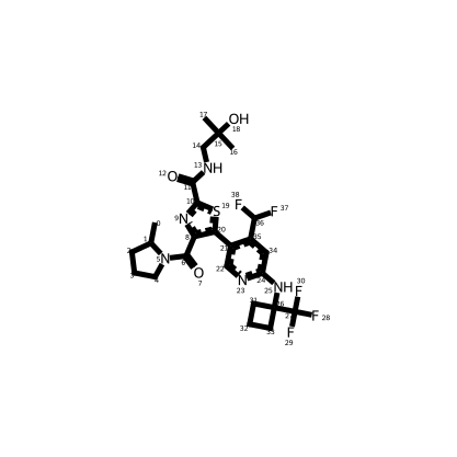 CC1CCCN1C(=O)c1nc(C(=O)NCC(C)(C)O)sc1-c1cnc(NC2(C(F)(F)F)CCC2)cc1C(F)F